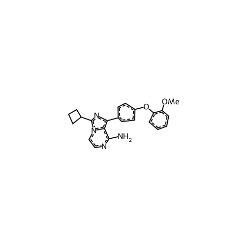 COc1ccccc1Oc1ccc(-c2nc(C3CCC3)n3ccnc(N)c23)cc1